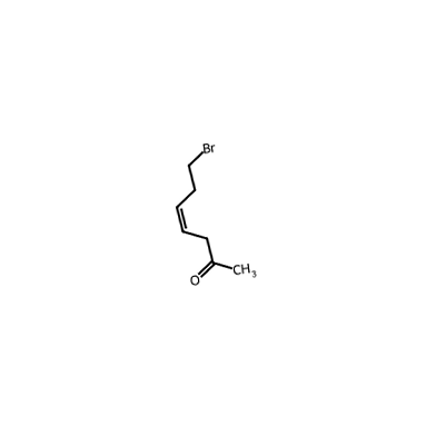 CC(=O)C/C=C\CCBr